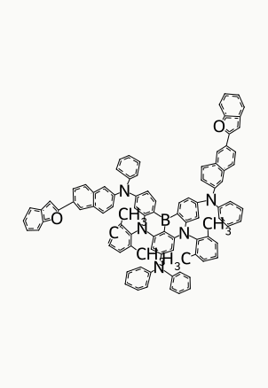 Cc1cccc(C)c1N1c2cc(N(c3ccccc3)c3ccc4cc(-c5cc6ccccc6o5)ccc4c3)ccc2B2c3ccc(N(c4ccccc4)c4ccc5cc(-c6cc7ccccc7o6)ccc5c4)cc3N(c3c(C)cccc3C)c3cc(N(c4ccccc4)c4ccccc4)cc1c32